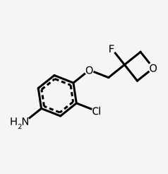 Nc1ccc(OCC2(F)COC2)c(Cl)c1